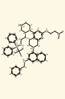 CN(C)CCOc1nc2c(c(N3CCNC[C@@H]3CCO[Si](c3ccccc3)(c3ccccc3)C(C)(C)C)n1)CCN(c1cc(OCc3ccccc3)cc3ccccc13)C2